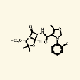 CC1=C(C(=O)N[C@@H]2C(=O)N3[C@@H]2SC(C)(C)[C@@H]3C(=O)O)N(c2ccccc2Cl)CO1